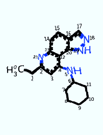 CCc1cc(NC2CCCCC2)c2c(ccc3cn[nH]c32)n1